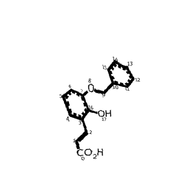 O=C(O)C=Cc1cccc(OCc2ccccc2)c1O